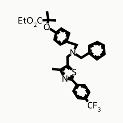 CCOC(=O)C(C)(C)Oc1ccc(CN(Cc2ccccc2)Cc2sc(-c3ccc(C(F)(F)F)cc3)nc2C)cc1